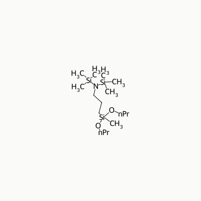 CCCO[Si](C)(CCCN([Si](C)(C)C)[Si](C)(C)C)OCCC